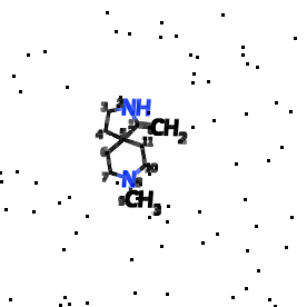 C=C1NCCC12CCN(C)CC2